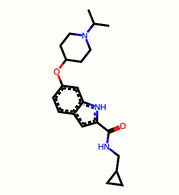 CC(C)N1CCC(Oc2ccc3cc(C(=O)NCC4CC4)[nH]c3c2)CC1